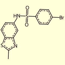 Cc1nc2cc(NS(=O)(=O)c3ccc(Br)cc3)ccc2s1